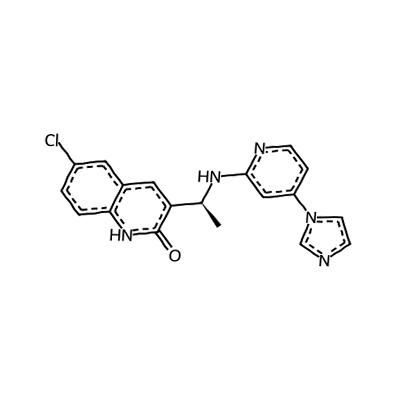 C[C@H](Nc1cc(-n2ccnc2)ccn1)c1cc2cc(Cl)ccc2[nH]c1=O